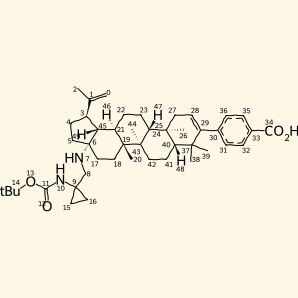 C=C(C)[C@@H]1CC[C@]2(NCC3(NC(=O)OC(C)(C)C)CC3)CC[C@]3(C)[C@H](CC[C@@H]4[C@@]5(C)CC=C(c6ccc(C(=O)O)cc6)C(C)(C)[C@@H]5CC[C@]43C)[C@@H]12